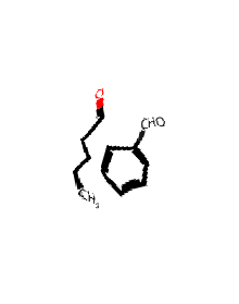 CCCCC=O.O=Cc1ccccc1